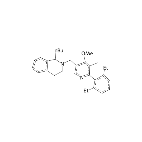 CCCCC1c2ccccc2CCN1Cc1cnc(-c2c(CC)cccc2CC)c(C)c1OC